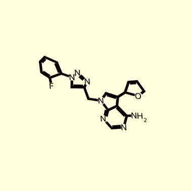 Nc1ncnc2c1c(C1C=CCO1)cn2Cc1cn(-c2ccccc2F)nn1